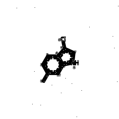 Cc1ccc2c(Cl)c[nH]c2c1